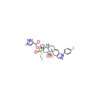 Cn1cc(C(=O)O[C@]2(C(=O)SCF)CC[C@H]3[C@@H]4CCC5=Cc6c(cnn6-c6ccc(F)cc6)C[C@]5(C)[C@H]4[C@@H](O)C[C@@]32C)nn1